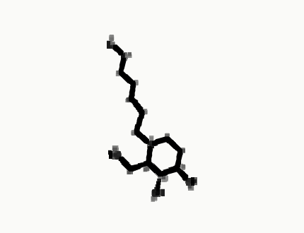 CCOCCCCCN1CC[C@@H](O)[C@H](O)[C@H]1CO